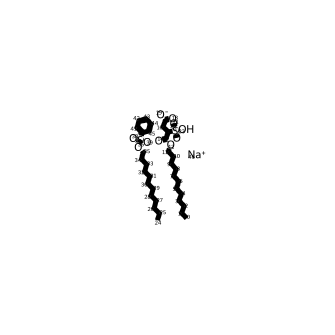 CCCCCCCCCCCCOC(=O)C(CC(=O)[O-])S(=O)(=O)O.CCCCCCCCCCCCOS(=O)(=O)c1ccccc1.[Na+]